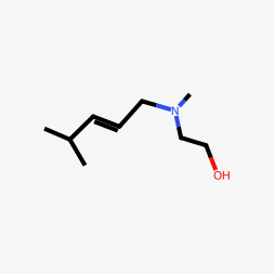 CC(C)/C=C/CN(C)CCO